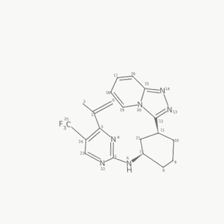 C=C(C)c1nc(N[C@@H]2CCC[C@H](c3nnc4ccccn34)C2)ncc1C(F)(F)F